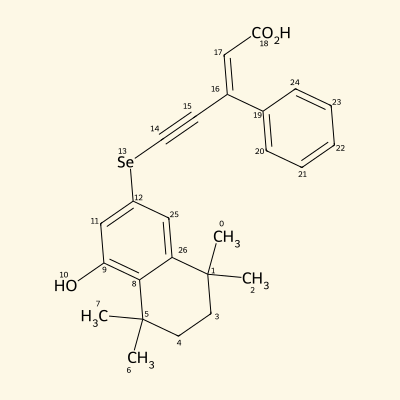 CC1(C)CCC(C)(C)c2c(O)cc([Se]C#CC(=CC(=O)O)c3ccccc3)cc21